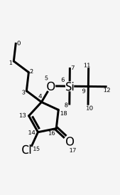 CCCCC1(O[Si](C)(C)C(C)(C)C)C=C(Cl)C(=O)C1